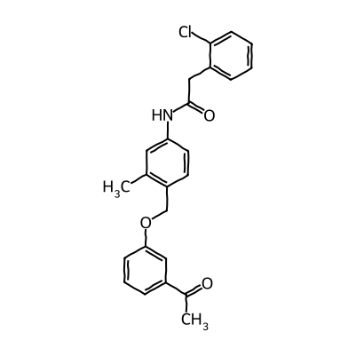 CC(=O)c1cccc(OCc2ccc(NC(=O)Cc3ccccc3Cl)cc2C)c1